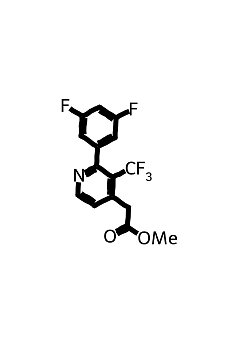 COC(=O)Cc1ccnc(-c2cc(F)cc(F)c2)c1C(F)(F)F